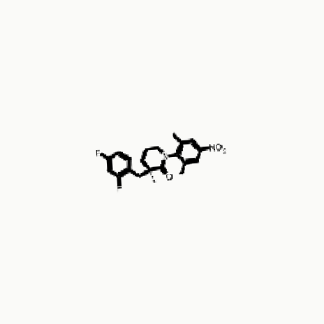 Cc1cc([N+](=O)[O-])cc(C)c1N1CCC[C@](C)(Cc2ccc(F)cc2F)C1=O